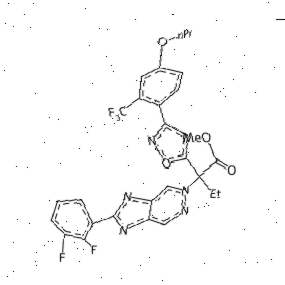 CCCOc1ccc(-c2cc(C(CC)(C(=O)OC)n3cc4nc(-c5cccc(F)c5F)nc-4cn3)on2)c(C(F)(F)F)c1